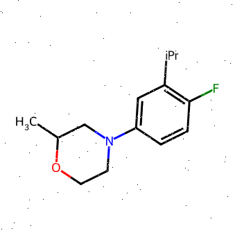 CC1CN(c2ccc(F)c(C(C)C)c2)CCO1